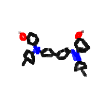 COc1cccc(N(c2ccc(C)cc2)c2ccc(-c3ccc(N(c4ccc(C)cc4)c4cccc(OC)c4)cc3)cc2)c1